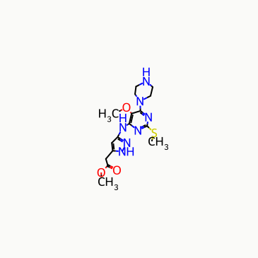 COC(=O)Cc1cc(Nc2nc(SC)nc(N3CCNCC3)c2OC)n[nH]1